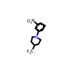 O=[N+]([O-])c1cccc(N2CCC(C(F)(F)F)CC2)c1